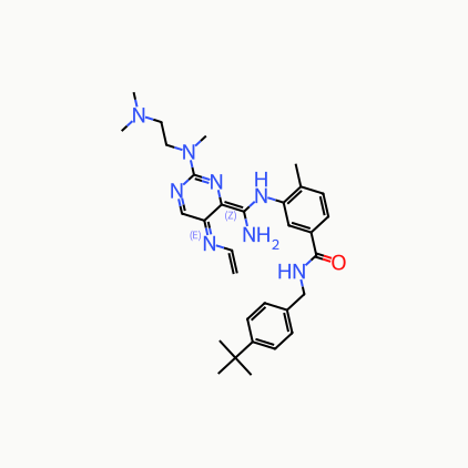 C=C/N=C1/C=NC(N(C)CCN(C)C)=N/C1=C(/N)Nc1cc(C(=O)NCc2ccc(C(C)(C)C)cc2)ccc1C